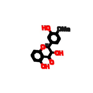 COc1ccc([C@@H]2Oc3cccc(O)c3C(=O)C2O)cc1O